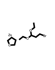 C1CCOC1.CCOC(CCBr)OCC.[Zn]